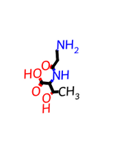 CC(O)C(NC(=O)CCN)C(=O)O